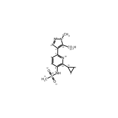 Cn1nnc(-c2ccc(NS(C)(=O)=O)c(C3CC3)n2)c1C(=O)O